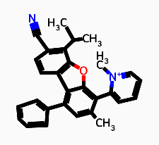 Cc1cc(-c2ccccc2)c2c(oc3c(C(C)C)c(C#N)ccc32)c1-c1cccc[n+]1C